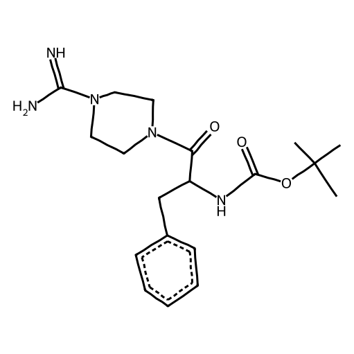 CC(C)(C)OC(=O)NC(Cc1ccccc1)C(=O)N1CCN(C(=N)N)CC1